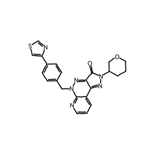 O=c1c2nn(Cc3ccc(-c4cscn4)cc3)c3ncccc3c-2nn1C1CCCOC1